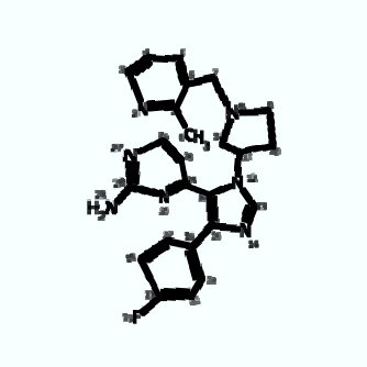 Cc1ncccc1CN1CCC(n2cnc(-c3ccc(F)cc3)c2-c2ccnc(N)n2)C1